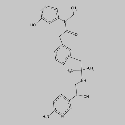 CCN(C(=O)Cc1cccc(CC(C)(C)NC[C@H](O)c2ccc(N)nc2)c1)c1cccc(O)c1